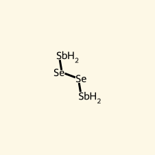 [SbH2][Se][Se][SbH2]